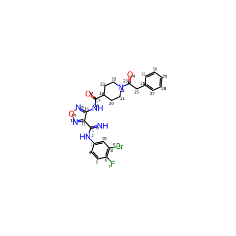 N=C(Nc1ccc(F)c(Br)c1)c1nonc1NC(=O)C1CCN(C(=O)Cc2ccccc2)CC1